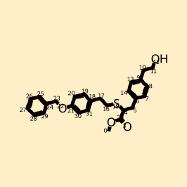 COC(=O)C(Cc1ccc(CCO)cc1)SCCc1ccc(OCc2ccccc2)cc1